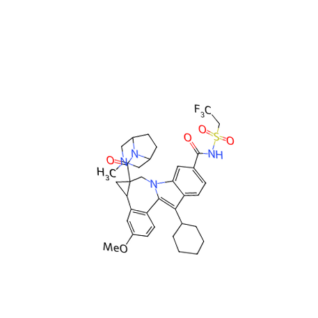 COc1ccc2c(c1)C1CC1(C(=O)N1C3CCC1CN(C)C3)Cn1c-2c(C2CCCCC2)c2ccc(C(=O)NS(=O)(=O)CC(F)(F)F)cc21